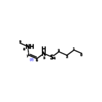 CCCCSN/C=C\NC